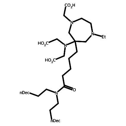 CCCCCCCCCCCCN(CCCCCCCCCCCC)C(=O)CCCCC1(N(CC(=O)O)CC(=O)O)CN(CC)CCN(CC(=O)O)C1